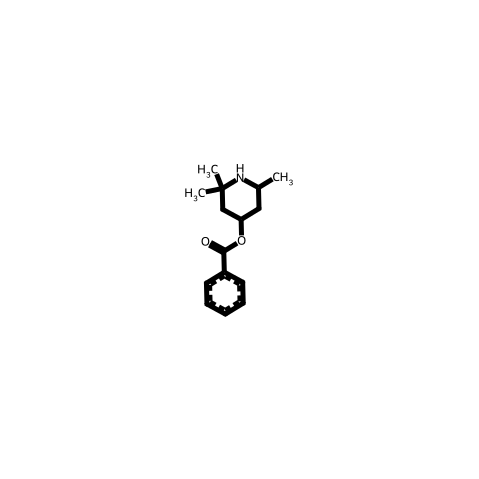 CC1CC(OC(=O)c2ccccc2)CC(C)(C)N1